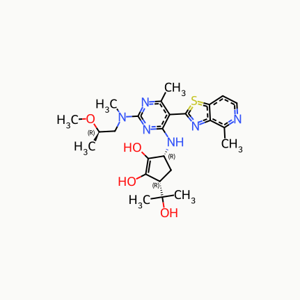 CO[C@H](C)CN(C)c1nc(C)c(-c2nc3c(C)nccc3s2)c(N[C@@H]2C[C@H](C(C)(C)O)C(O)=C2O)n1